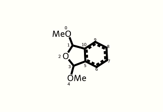 COC1OC(OC)c2ccccc21